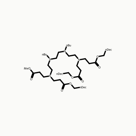 CCCCCCCCCCCOC(=O)CCN(CCC(=O)OC)CCN(CCCC)CCN(CCCC)CCN(CCC(=O)OCCCCCCCCCCC)CCC(=O)OCCCCCCCCCCC